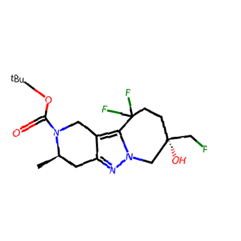 C[C@@H]1Cc2nn3c(c2CN1C(=O)OC(C)(C)C)C(F)(F)CC[C@@](O)(CF)C3